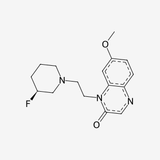 COc1ccc2ncc(=O)n(CCN3CCC[C@H](F)C3)c2c1